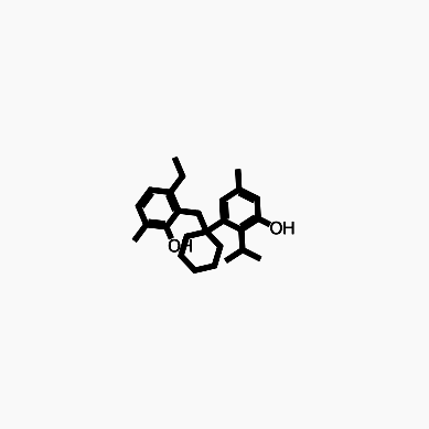 CCc1ccc(C)c(O)c1CC1(c2cc(C)cc(O)c2C(C)C)CCCCC1